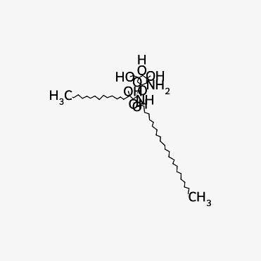 CCCCCCCCCCCCCCCCCCCCCCCCCC(=O)N[C@@H](COC1OC(CO)C(O)C(O)C1N)[C@H](O)[C@H](O)CCCCCCCCCCCCCC